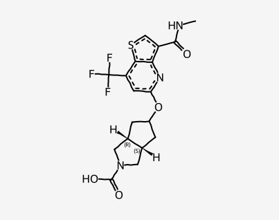 CNC(=O)c1csc2c(C(F)(F)F)cc(OC3C[C@@H]4CN(C(=O)O)C[C@@H]4C3)nc12